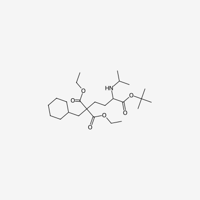 CCOC(=O)C(CCC(NC(C)C)C(=O)OC(C)(C)C)(CC1CCCCC1)C(=O)OCC